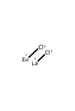 [Cl][Eu].[Cl][La]